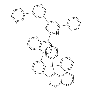 c1ccc(-c2cc(-c3cccc(-c4cccnc4)c3)nc(-c3ccc(-c4cccc5c4C(c4ccccc4)(c4ccccc4)c4c-5ccc5ccccc45)c4ccccc34)n2)cc1